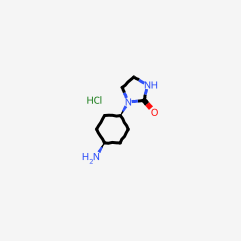 Cl.N[C@H]1CC[C@@H](N2CCNC2=O)CC1